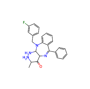 CC(N)C(=O)C1N=C(c2ccccc2)c2ccccc2N(Cc2cccc(F)c2)C1N